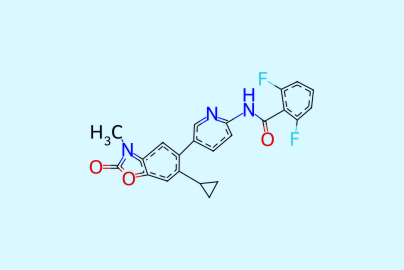 Cn1c(=O)oc2cc(C3CC3)c(-c3ccc(NC(=O)c4c(F)cccc4F)nc3)cc21